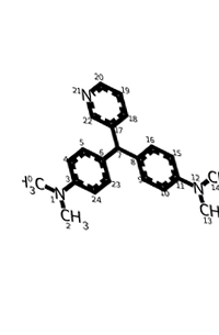 CN(C)c1ccc(C(c2ccc(N(C)C)cc2)c2cccnc2)cc1